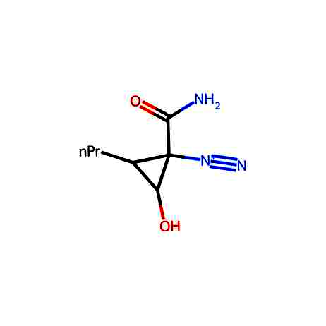 CCCC1C(O)C1([N+]#N)C(N)=O